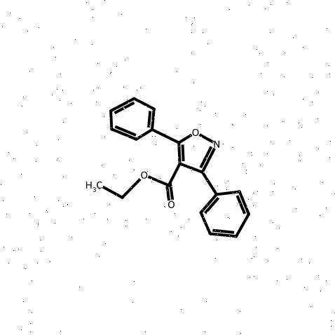 CCOC(=O)c1c(-c2ccccc2)noc1-c1ccccc1